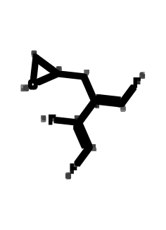 F/C=C(F)/C(=C/F)CC1CO1